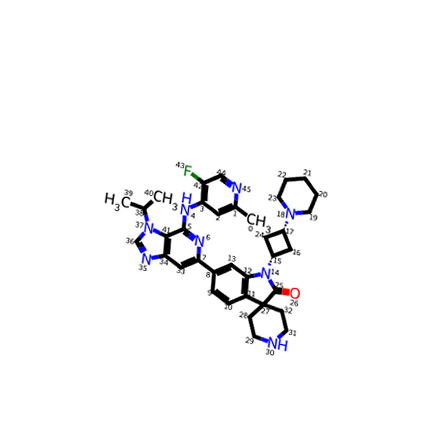 Cc1cc(Nc2nc(-c3ccc4c(c3)N([C@H]3C[C@@H](N5CCCCC5)C3)C(=O)C43CCNCC3)cc3ncn(C(C)C)c23)c(F)cn1